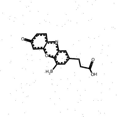 Bc1cc(CCC(=O)O)cc2nc3ccc(=O)cc-3oc12